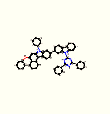 c1ccc(-c2nc(-c3ccccc3)nc(-n3c4ccccc4c4ccc(-c5ccc6c7c8cccc9c8c(cc7n(-c7ccccc7)c6c5)Oc5ccccc5-9)cc43)n2)cc1